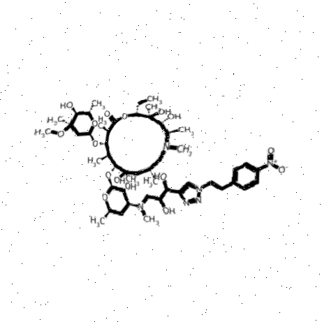 CC[C@H]1OC(=O)[C@H](C)[C@@H](O[C@H]2C[C@@](C)(OC)[C@@H](O)[C@H](C)O2)[C@H](C)[C@@H](O[C@@H]2O[C@H](C)C[C@H](N(C)CC(O)C(O)c3cn(CCc4ccc([N+](=O)[O-])cc4)nn3)[C@H]2O)[C@](C)(O)C[C@@H](C)CN(C)[C@H](C)[C@@H](O)[C@]1(C)O